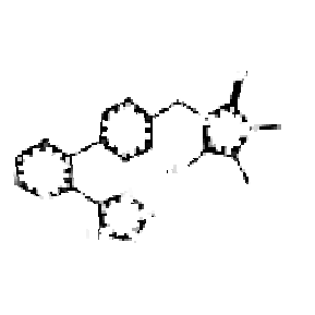 CCCc1c(C)n(CC)c(=O)n1Cc1ccc(-c2cccnc2-c2nnn[nH]2)cc1